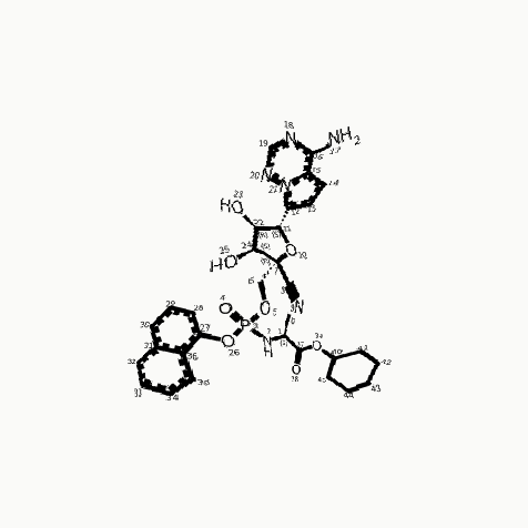 C[C@H](NP(=O)(OC[C@@]1(C#N)O[C@@H](c2ccc3c(N)ncnn23)[C@H](O)[C@@H]1O)Oc1cccc2ccccc12)C(=O)OC1CCCCC1